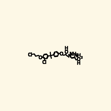 CC(C)(c1ccc(OCC(O)CN(N)/C=C(\N)CO)cc1)c1ccc(OCCCCl)c(Cl)c1